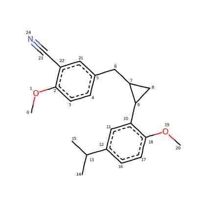 COc1ccc(CC2CC2c2cc(C(C)C)ccc2OC)cc1C#N